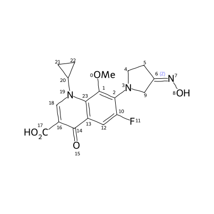 COc1c(N2CC/C(=N/O)C2)c(F)cc2c(=O)c(C(=O)O)cn(C3CC3)c12